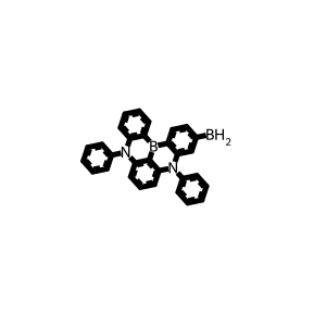 Bc1ccc2c(c1)N(c1ccccc1)c1cccc3c1B2c1ccccc1N3c1ccccc1